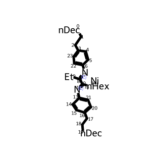 CCCCCCCCCCCCc1ccc(/N=C(CC)/C(CCCCCC)=N/c2ccc(CCCCCCCCCCCC)cc2)cc1.[Ni]